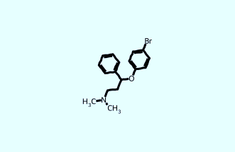 CN(C)CCC(Oc1ccc(Br)cc1)c1ccccc1